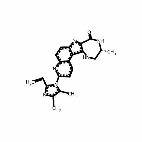 C=Cc1nc(C)c(C)n1-c1ccc2c(ccc3sc4c(c32)NC[C@@H](C)NC4=O)n1